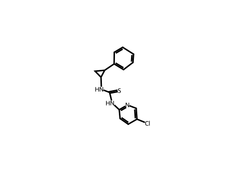 S=C(Nc1ccc(Cl)cn1)NC1CC1c1ccccc1